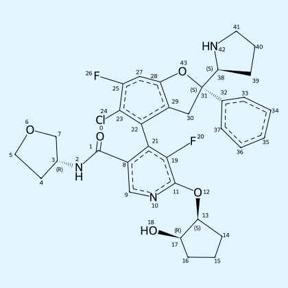 O=C(N[C@@H]1CCOC1)c1cnc(O[C@H]2CCC[C@H]2O)c(F)c1-c1c(Cl)c(F)cc2c1C[C@](c1ccccc1)([C@@H]1CCCN1)O2